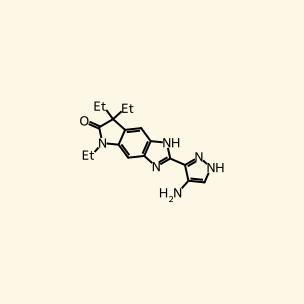 CCN1C(=O)C(CC)(CC)c2cc3[nH]c(-c4n[nH]cc4N)nc3cc21